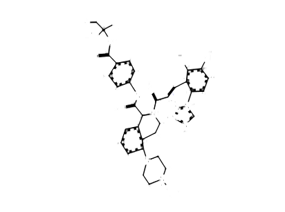 CCC(C)(C)OC(=O)c1ccc(NC(=O)C2c3cccc(N4CCN(C)CC4)c3CCN2C(=O)/C=C/c2c(-n3cnnn3)ccc(Cl)c2F)cc1